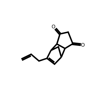 C=CCC1=CC2CC1C1C(=O)CC(=O)C21